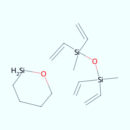 C1CC[SiH2]OC1.C=C[Si](C)(C=C)O[Si](C)(C=C)C=C